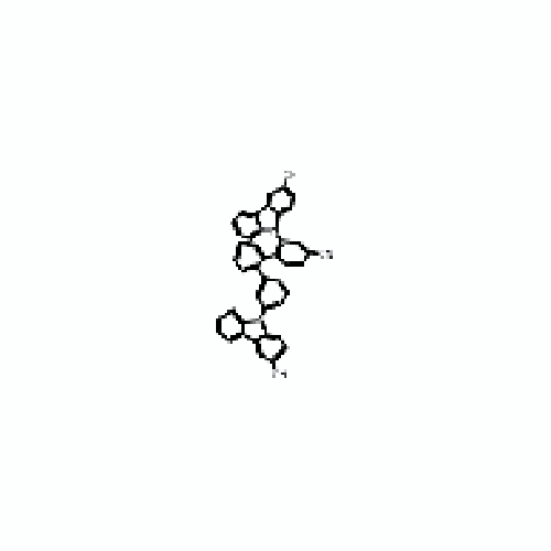 N#Cc1ccc(-c2ccccc2-c2cccc(-n3c4ccccc4c4cc(C#N)ccc43)c2)c(-n2c3ccccc3c3cc(C#N)ccc32)c1